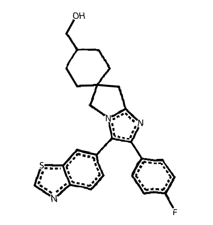 OCC1CCC2(CC1)Cc1nc(-c3ccc(F)cc3)c(-c3ccc4ncsc4c3)n1C2